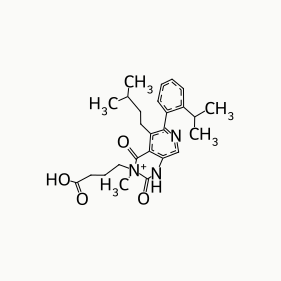 CC(C)CCc1c(-c2ccccc2C(C)C)ncc2c1C(=O)[N+](C)(CCCC(=O)O)C(=O)N2